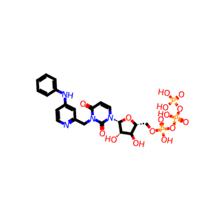 O=c1ccn([C@@H]2O[C@H](COP(=O)(O)OP(=O)(O)OP(=O)(O)O)C(O)[C@@H]2O)c(=O)n1Cc1cc(Nc2ccccc2)ccn1